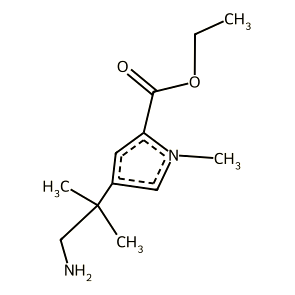 CCOC(=O)c1cc(C(C)(C)CN)cn1C